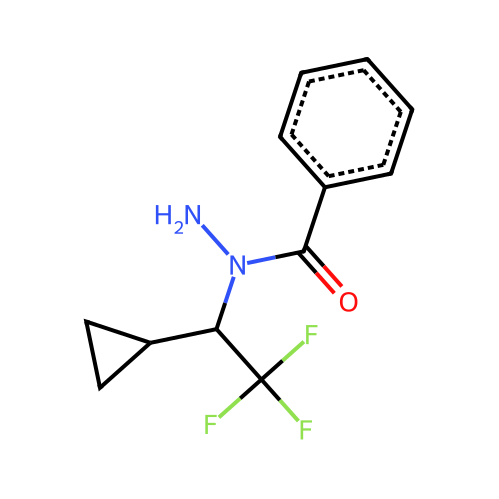 NN(C(=O)c1ccccc1)C(C1CC1)C(F)(F)F